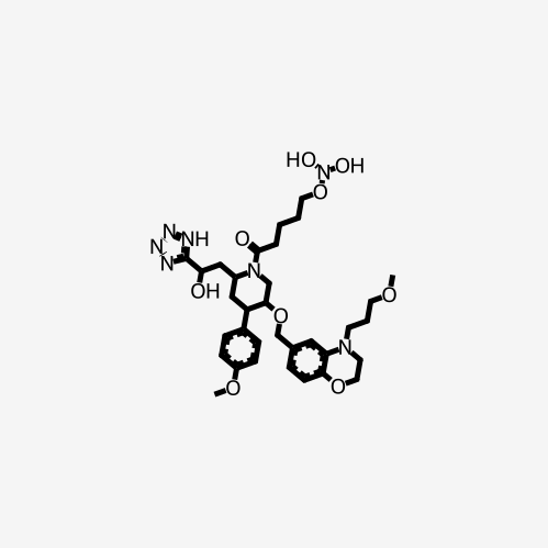 COCCCN1CCOc2ccc(COC3CN(C(=O)CCCCON(O)O)C(CC(O)c4nnn[nH]4)CC3c3ccc(OC)cc3)cc21